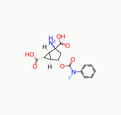 N[C@@]1(C(=O)O)C[C@H](OC(=O)N(F)c2ccccc2)[C@H]2[C@H](C(=O)O)[C@H]21